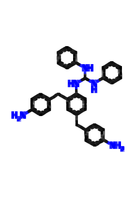 Nc1ccc(Cc2ccc(NC(Nc3ccccc3)Nc3ccccc3)c(Cc3ccc(N)cc3)c2)cc1